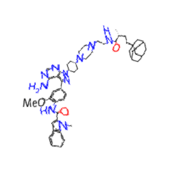 COc1cc(-c2nn(C3CCC(N4CCN(CCNC(=O)[C@H](C)CCC56CC7CC(CC(C7)C5)C6)CC4)CC3)c3ncnc(N)c23)ccc1NC(=O)c1cc2ccccc2n1C